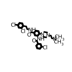 CN(C)CCN1CCN(c2ccc(C(=O)NCCc3ccc(Cl)cc3Cl)cc2NC(=O)c2cccc(Cl)c2)CC1